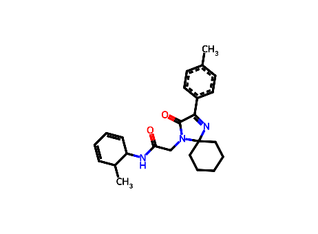 Cc1ccc(C2=NC3(CCCCC3)N(CC(=O)NC3C=CC=CC3C)C2=O)cc1